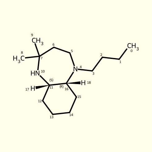 CCCCN1CCC(C)(C)N[C@H]2CCCC[C@H]21